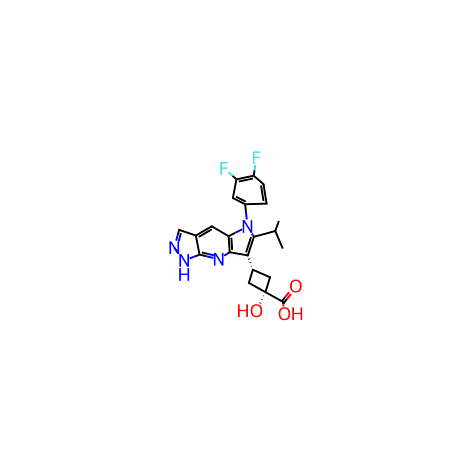 CC(C)c1c([C@H]2C[C@](O)(C(=O)O)C2)c2nc3[nH]ncc3cc2n1-c1ccc(F)c(F)c1